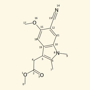 COC(=O)Cc1c(C)n(C)c2cc(C#N)c(OC)cc12